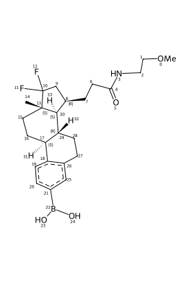 COCCNC(=O)CC[C@@H]1CC(F)(F)[C@@]2(C)CC[C@@H]3c4ccc(B(O)O)cc4CC[C@H]3[C@H]12